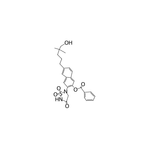 CC(C)(CO)CCCc1ccc2cc(OC(=O)c3ccccc3)c(N3CC(=O)NS3(=O)=O)cc2c1